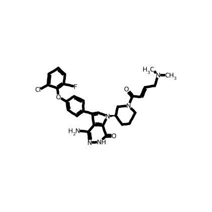 CN(C)CC=CC(=O)N1CCC[C@@H](n2cc(-c3ccc(Oc4c(F)cccc4Cl)cc3)c3c(N)n[nH]c(=O)c32)C1